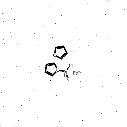 Cl[SiH](Cl)[c-]1cccc1.[Fe+2].c1cc[cH-]c1